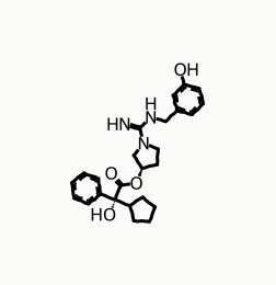 N=C(NCc1cccc(O)c1)N1CC[C@@H](OC(=O)[C@](O)(c2ccccc2)C2CCCC2)C1